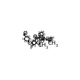 COc1cc(F)c(OC2CCC(C=O)CC2)cc1C(=O)NC1CCCCN1C(=O)NCC1(C)CCC1